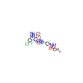 COC(=O)Nc1ccc(-c2cnn([C@H](C[C@@H]3CCCCO3)c3ccc(-c4c(-n5cnnn5)ccc(Cl)c4F)c[n+]3[O-])c2)cc1